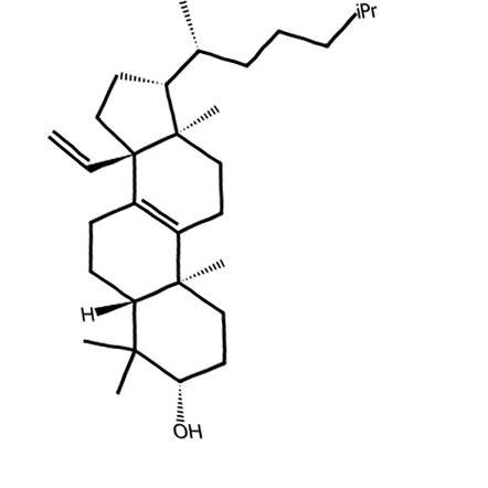 C=C[C@@]12CC[C@H]([C@H](C)CCCC(C)C)[C@@]1(C)CCC1=C2CC[C@H]2C(C)(C)[C@@H](O)CC[C@]12C